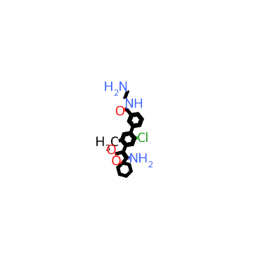 Cc1cc(-c2cccc(C(=O)NCCN)c2)c(Cl)cc1C1=C(N)C2(CCCCC2)OC1=O